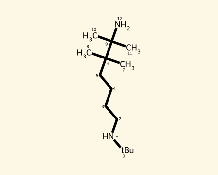 CC(C)(C)NCCCCC(C)(C)C(C)(C)N